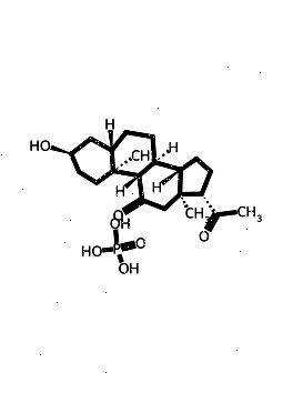 CC(=O)[C@H]1CC[C@H]2[C@@H]3CC[C@H]4C[C@H](O)CC[C@]4(C)[C@H]3C(=O)C[C@]12C.O=P(O)(O)O